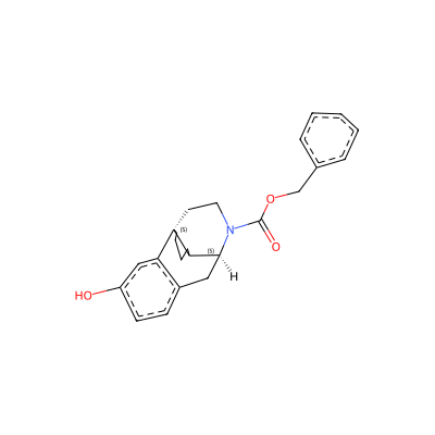 O=C(OCc1ccccc1)N1CC[C@@]23CCCCC2[C@@H]1Cc1ccc(O)cc13